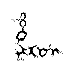 C=CC(=O)Nc1cccc(Oc2nc(Nc3ccc(N4CCC5(CCCN5C)CC4)cc3)c(C(N)=O)nc2CC)c1